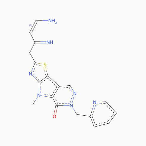 Cn1c2nc(CC(=N)/C=C\N)sc2c2cnn(Cc3ccccn3)c(=O)c21